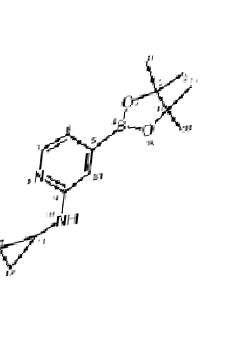 CC1(C)OB(c2ccnc(NC3CC3)c2)OC1(C)C